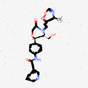 CC1=C(CN2C(=O)CO[C@H](c3ccc(NC(=O)c4cccnc4)cc3)[C@H]2CO)OOC=N1